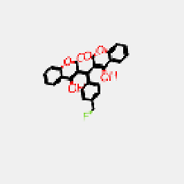 O=c1oc2ccccc2c(O)c1C(c1ccc(CF)cc1)c1c(O)c2ccccc2oc1=O